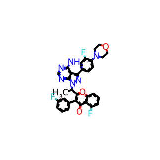 CC(c1oc2cccc(F)c2c(=O)c1-c1cccc(F)c1)n1nc(-c2ccc(N3CCOCC3)c(F)c2)c2c(N)ncnc21